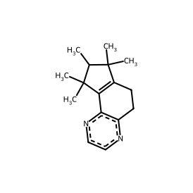 CC1C(C)(C)C2=C(c3nccnc3CC2)C1(C)C